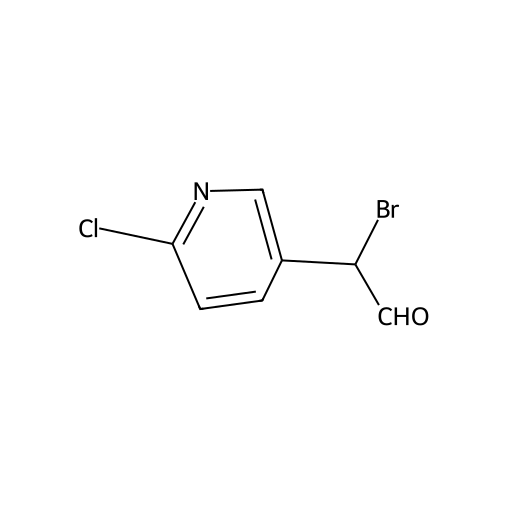 O=CC(Br)c1ccc(Cl)nc1